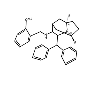 COc1ccccc1CNC1C2C[C@H]3CC[C@H](C2)N3C1C(c1ccccc1)c1ccccc1